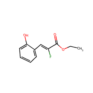 CCOC(=O)C(F)=Cc1ccccc1O